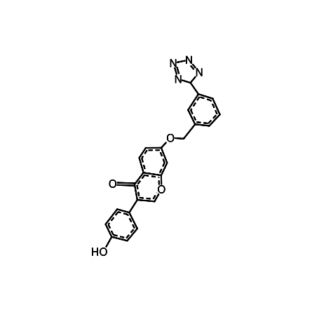 O=c1c(-c2ccc(O)cc2)coc2cc(OCc3cccc(C4N=NN=N4)c3)ccc12